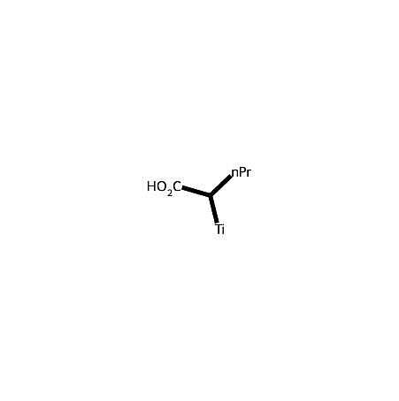 CCC[CH]([Ti])C(=O)O